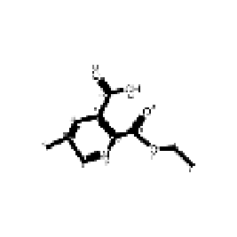 CCOC(=O)c1ncc(C)cc1C(=O)O